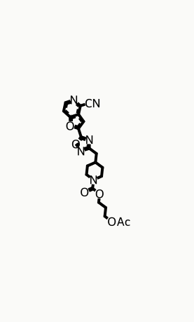 CC(=O)OCCCOC(=O)N1CCC(Cc2noc(-c3cc4c(C#N)nccc4o3)n2)CC1